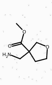 COC(=O)C1(CN)CCOC1